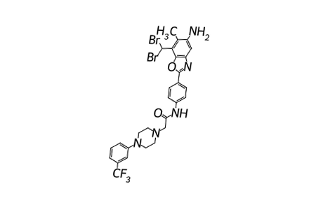 Cc1c(N)cc2nc(-c3ccc(NC(=O)CN4CCN(c5cccc(C(F)(F)F)c5)CC4)cc3)oc2c1C(Br)Br